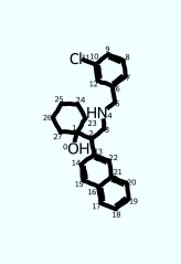 OC1(C(CNCc2cccc(Cl)c2)c2ccc3ccccc3c2)CCCCC1